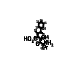 CC(C)C(N)C(=O)N(O)C(C(=O)O)C(C)C(C)c1ccccc1